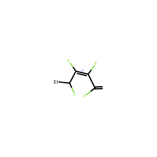 C=C(F)/C(F)=C(/F)C(F)CC